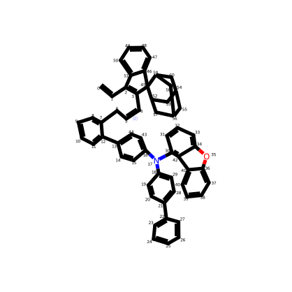 C=CC1=C(/C=C\Cc2ccccc2-c2ccc(N(c3ccc(-c4ccccc4)cc3)c3cccc4oc5ccccc5c34)cc2)C2(c3ccccc31)C1CC3CC(C1)CC2C3